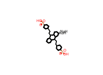 O=S(=O)(O)c1ccc(CCc2c3ccccc3c(CCc3ccc(S(=O)(=O)O)cc3)c3ccccc23)cc1.[NaH].[NaH]